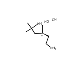 CC1(C)C[C@H](CCN)CN1.Cl.Cl